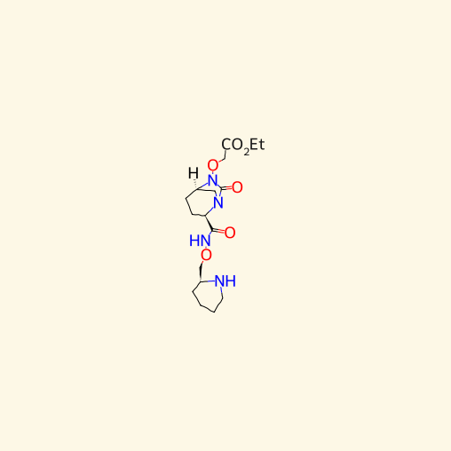 CCOC(=O)CON1C(=O)N2C[C@H]1CC[C@@H]2C(=O)NOC[C@@H]1CCCCN1